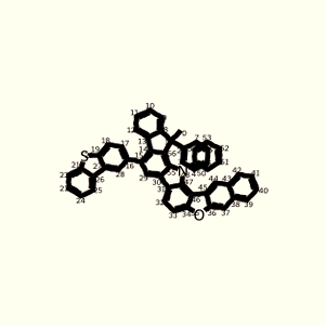 CC1(c2ccccc2)c2ccccc2-c2c(-c3ccc4sc5ccccc5c4c3)cc3c4ccc5oc6cc7ccccc7cc6c5c4n(-c4ccccc4)c3c21